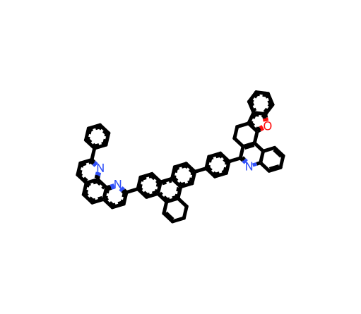 C1=CC2N=C(c3ccc(-c4ccc5c(c4)c4c(c6cc(-c7ccc8ccc9ccc(-c%10ccccc%10)nc9c8n7)ccc65)C=CCC4)cc3)C3=C(c4oc5ccccc5c4CC3)C2C=C1